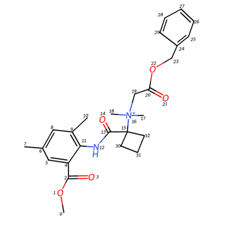 COC(=O)c1cc(C)cc(C)c1NC(=O)C1([N+](C)(C)CC(=O)OCc2ccccc2)CCC1